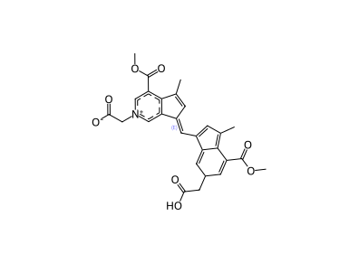 COC(=O)C1=CC(CC(=O)O)C=C2C(/C=C3\C=C(C)c4c(C(=O)OC)c[n+](CC(=O)[O-])cc43)=CC(C)=C12